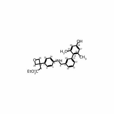 CCOC(=O)CC1(c2ccc(NCc3cccc(-c4c(C)cc(O)cc4C)c3)cc2)COC1